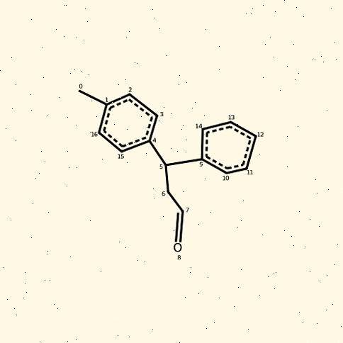 Cc1ccc(C(CC=O)c2ccccc2)cc1